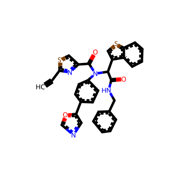 C#Cc1nc(C(=O)N(c2ccc(-c3cnco3)cc2)C(C(=O)NCc2ccccc2)c2csc3ccccc23)cs1